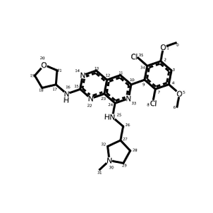 COc1cc(OC)c(Cl)c(-c2cc3cnc(NC4CCOC4)nc3c(NCC3CCN(C)C3)n2)c1Cl